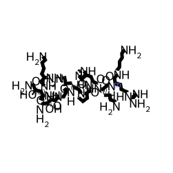 N=C(N)NCC/C=C(\NC(=O)[C@H](CCCCN)NC(=O)C(Cc1cnc[nH]1)NC(=O)C1CCCN1C(=O)[C@@H](CCCN)NC(=O)CNC(=O)C(NC(=O)[C@@H](NC(=O)C(N)CCCCN)[C@@H](O)CN)[C@@H](O)CN)C(=O)NCCCCCN